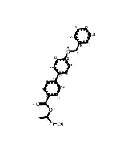 CCCCCCC(C)OC(=O)c1ccc(-c2ccc(OCc3ccccc3)cc2)cc1